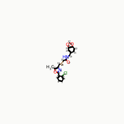 Cc1oc(-c2ccccc2Cl)nc1CSCC(=O)NCc1ccc2c(c1)OCO2